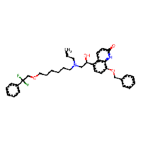 C=CCN(CCCCCCOCC(F)(F)c1ccccc1)CC(O)c1ccc(OCc2ccccc2)c2[nH]c(=O)ccc12